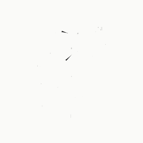 C[C@H]1CNCC[C@H]1c1cccc(S(C)(=O)=O)c1